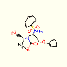 C[C@H](C=CO)N(C[C@H](COCc1ccccc1)NS(=O)(=O)c1ccccc1)C(=O)O